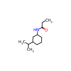 CCC(=O)NC1CCCC(C(C)C)C1